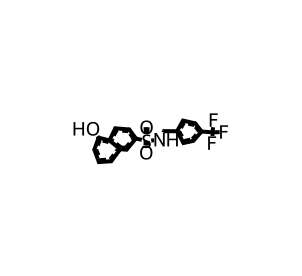 O=S(=O)(NCc1ccc(C(F)(F)F)cc1)c1ccc2c(O)cccc2c1